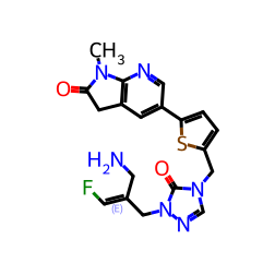 CN1C(=O)Cc2cc(-c3ccc(Cn4cnn(C/C(=C/F)CN)c4=O)s3)cnc21